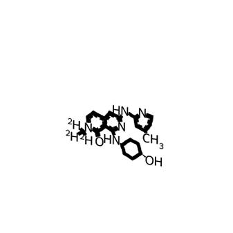 [2H]C([2H])([2H])n1ccc2cc(Nc3cc(C)ccn3)nc(N[C@H]3CC[C@@H](O)CC3)c2c1=O